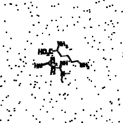 CN(C)C(=N)NC(=N)N.NCCCCC(N)C(=O)O